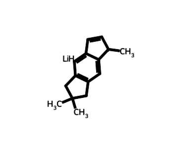 C[C]1C=Cc2cc3c(cc21)CC(C)(C)C3.[LiH]